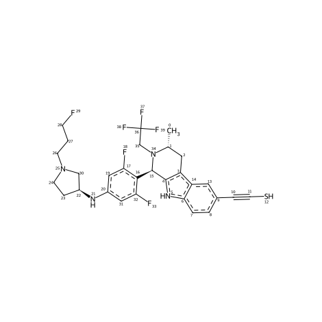 C[C@@H]1Cc2c([nH]c3ccc(C#CS)cc23)[C@@H](c2c(F)cc(N[C@H]3CCN(CCCF)C3)cc2F)N1CC(F)(F)F